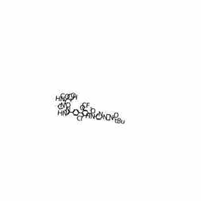 C[C@H]1C[C@@H](c2nc(-c3ccc(-c4c(Cl)cc(C(=O)Nc5ccc(N6CCN(C(=O)C(C)(C)C)C[C@H]6C)nc5)cc4OC(F)(F)F)cc3)c[nH]2)N(C(=O)[C@@H](NC(=O)O)C2CCOCC2)C1